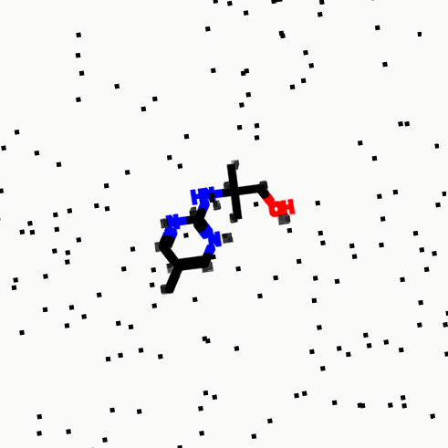 Cc1cnc(NC(C)(C)CO)nc1